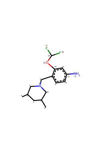 CC1CC(C)CN(Cc2ccc(N)cc2OC(F)F)C1